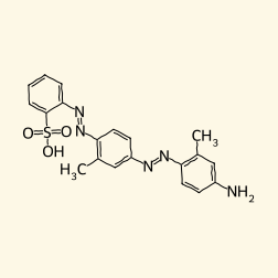 Cc1cc(N)ccc1N=Nc1ccc(N=Nc2ccccc2S(=O)(=O)O)c(C)c1